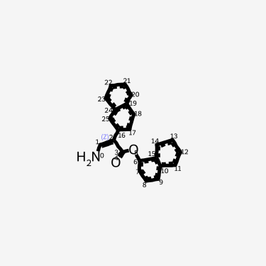 N/C=C(\C(=O)Oc1cccc2ccccc12)c1ccc2ccccc2c1